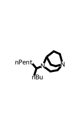 CCCCCC(CCCC)N1CCN2CCC1CC2